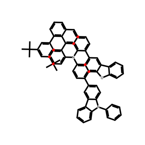 CC(C)(C)c1cc(-c2cccc3cccc(-c4ccccc4N(c4ccc(-c5ccc6c(c5)c5ccccc5n6-c5ccccc5)cc4)c4ccccc4-c4ccc5oc6ccccc6c5c4)c23)cc(C(C)(C)C)c1